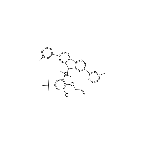 C=CCOc1c(Cl)cc(C(C)(C)C)cc1[Si](C)(C)C1c2cc(-c3cccc(C)c3)ccc2-c2ccc(-c3cccc(C)c3)cc21